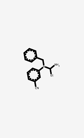 CCC(N)N(Cc1ccccc1)c1cccc(C#N)c1